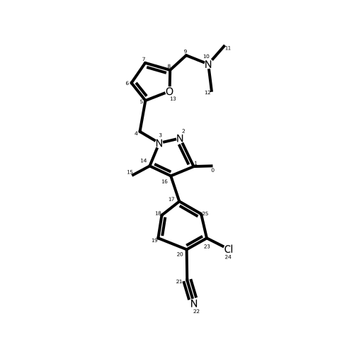 Cc1nn(Cc2ccc(CN(C)C)o2)c(C)c1-c1ccc(C#N)c(Cl)c1